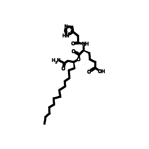 CCCCCCCCCCCCC[C@@H](CC(N)=O)OC(=O)[C@H](CCCC(=O)O)NC(=O)Cc1cnc[nH]1